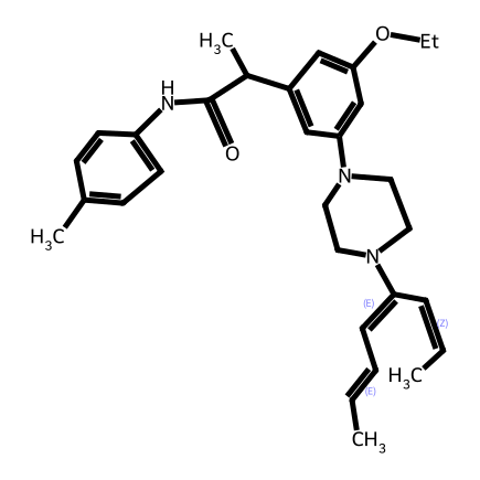 C\C=C/C(=C\C=C\C)N1CCN(c2cc(OCC)cc(C(C)C(=O)Nc3ccc(C)cc3)c2)CC1